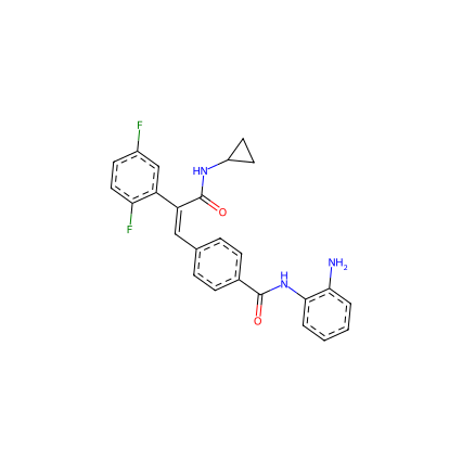 Nc1ccccc1NC(=O)c1ccc(C=C(C(=O)NC2CC2)c2cc(F)ccc2F)cc1